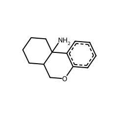 NC12CCCCC1COc1ccccc12